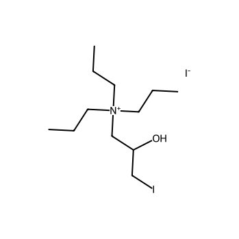 CCC[N+](CCC)(CCC)CC(O)CI.[I-]